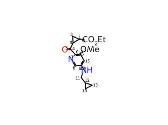 CCOC(=O)C1CC1C(=O)c1ncc(NCC2CC2)cc1OC